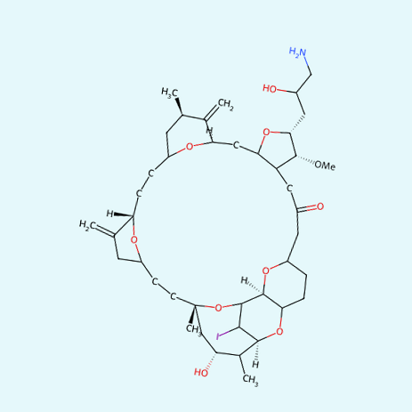 C=C1CC2CC[C@@]3(C)C[C@@H](O)C(C)[C@@H]4OC5CCC(CC(=O)CC6C(C[C@H]7OC(CC[C@@H]1O2)C[C@@H](C)C7=C)O[C@H](CC(O)CN)[C@@H]6OC)O[C@@H]5C(O3)C4I